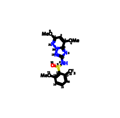 COc1cc(OC)c2nc(N[S+]([O-])c3c(OC)cccc3C(F)(F)F)nn2n1